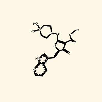 CC(C)OC(=O)C1=C(NN2CCS(O)(O)CC2)OC(=Cc2c[nH]c3ncccc23)C1=O